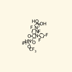 CC(C)C(COC(F)(F)F)NC(=O)c1cn(-c2c(F)cc(F)cc2F)c2nc(N3C[C@@H](O)[C@H](O)C3)c(F)cc2c1=O